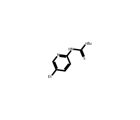 CCCCC(=S)Nc1ccc(CC)cn1